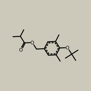 Cc1cc(COC(=O)C(C)C)cc(C)c1OC(C)(C)C